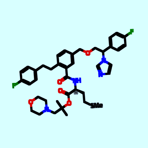 CSCC[C@H](NC(=O)c1cc(COCC(c2ccc(F)cc2)n2ccnc2)ccc1CCc1ccc(F)cc1)C(=O)OC(C)(C)CN1CCOCC1